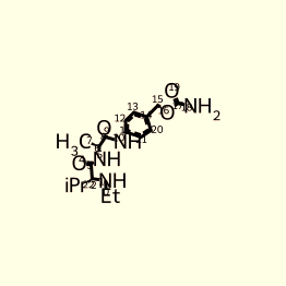 CCN[C@H](C(=O)N[C@@H](C)C(=O)Nc1ccc(COC(N)=O)cc1)C(C)C